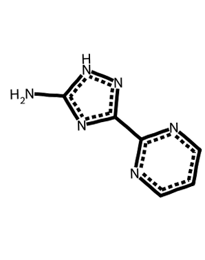 Nc1nc(-c2ncccn2)n[nH]1